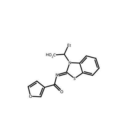 CCC(C(=O)O)n1c(=NC(=O)c2ccoc2)sc2ccccc21